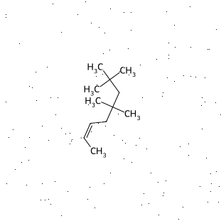 C/[C]=C\CC(C)(C)CC(C)(C)C